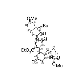 CCOC(=O)c1cn(C(C[C@H]2CC[C@H](OC)CC2)C(=O)OC(C)(C)C)c(=O)cc1-c1cc(Cl)ccc1CC1(NC(=O)OC(C)(C)C)CC1